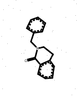 O=C1c2ccc[c]c2CCN1Cc1ccccc1